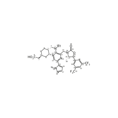 CCN(C[C@H]1CC[C@H](CC(=O)O)CC1)c1ncc(-c2ccnn2C)nc1CN1C(=O)OC(c2cc(C(F)(F)F)cc(C(F)(F)F)c2)[C@@H]1C